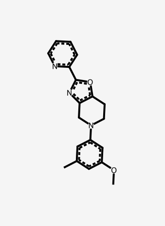 COc1cc(C)cc(N2CCc3oc(-c4ccccn4)nc3C2)c1